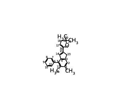 Cc1cc2c(c(-c3ccccc3)c1C)C=C(C1=CCC(C)(C)O1)C2